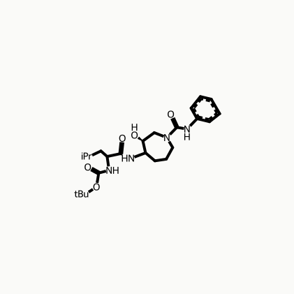 CC(C)CC(NC(=O)OC(C)(C)C)C(=O)NC1CCCN(C(=O)Nc2ccccc2)C[C@@H]1O